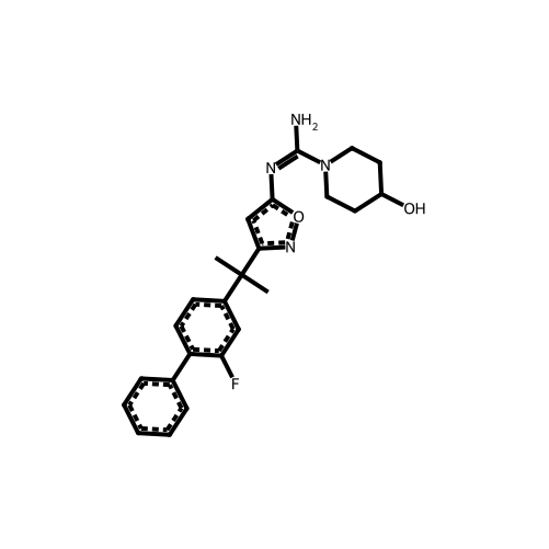 CC(C)(c1ccc(-c2ccccc2)c(F)c1)c1cc(/N=C(/N)N2CCC(O)CC2)on1